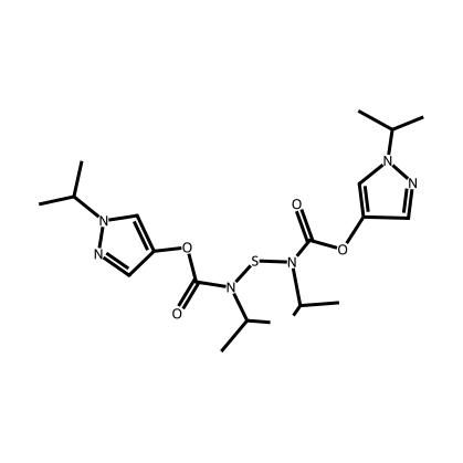 CC(C)N(SN(C(=O)Oc1cnn(C(C)C)c1)C(C)C)C(=O)Oc1cnn(C(C)C)c1